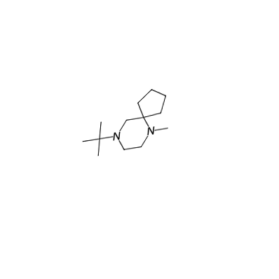 CN1CCN(C(C)(C)C)CC12CCCC2